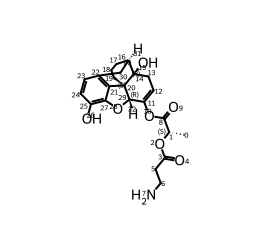 C[C@H](OC(=O)CCN)C(=O)OC1=CC[C@@]2(O)[C@@H]3CCC[C@@]24c2c(ccc(O)c2O[C@@H]14)C3